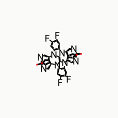 Cc1ccc(N2C(=C3N(c4ccc(C)nc4)c4cc(F)c(F)cc4N3c3ccc(C)nc3)N(c3ccc(C)nc3)c3cc(F)c(F)cc32)cn1